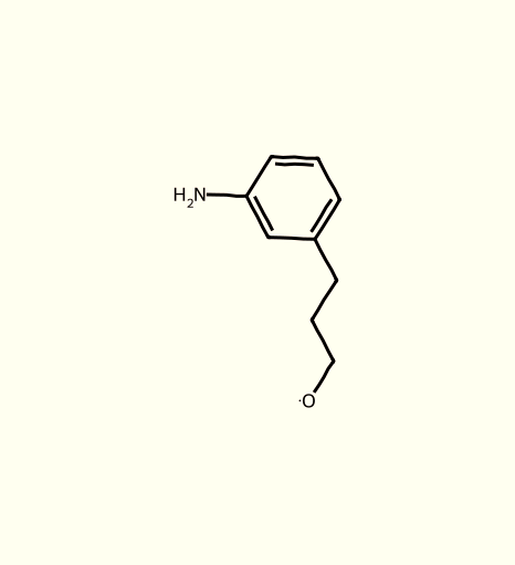 Nc1cccc(CCC[O])c1